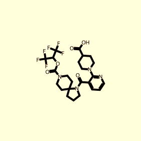 O=C(O)C1CCN(c2ncccc2C(=O)N2CCCC23CCN(C(=O)OC(C(F)(F)F)C(F)(F)F)CC3)CC1